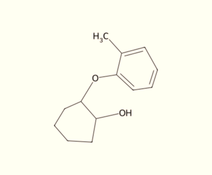 Cc1ccccc1OC1CCCCC1O